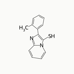 Cc1ccccc1-c1nc2ccccn2c1S